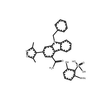 CC(=O)Nc1cccc(O)c1[As](=O)(O)O.Cc1noc(C)c1-c1cc(C(N)=O)c2c3ccccc3n(Cc3ccccc3)c2c1